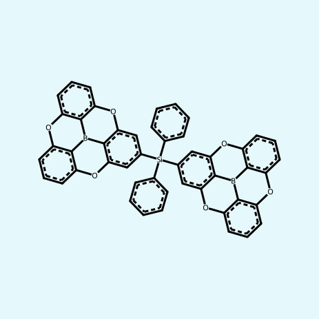 c1ccc([Si](c2ccccc2)(c2cc3c4c(c2)Oc2cccc5c2B4c2c(cccc2O3)O5)c2cc3c4c(c2)Oc2cccc5c2B4c2c(cccc2O3)O5)cc1